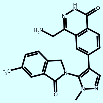 Cn1ncc(-c2ccc3c(=O)[nH]nc(CN)c3c2)c1N1Cc2ccc(C(F)(F)F)cc2C1=O